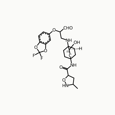 CC1CC(C(=O)NC23CCC(NCC(C=O)Oc4ccc5c(c4)OC(F)(F)O5)(CC2)[C@@H](O)C3)ON1